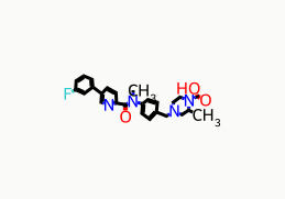 CC1CN(Cc2ccc(N(C)C(=O)c3ccc(-c4cccc(F)c4)cn3)cc2)CCN1C(=O)O